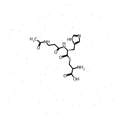 CC(=O)NCCC(=O)N[C@@H](Cc1cnc[nH]1)C(=O)SCC(N)C(=O)O